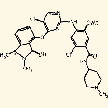 COc1cc(C(=O)NC2CCN(C)CC2)c(Cl)cc1Nc1ncc(Cl)c(Oc2cccc3c2C(O)N(C)[C@H]3C)n1